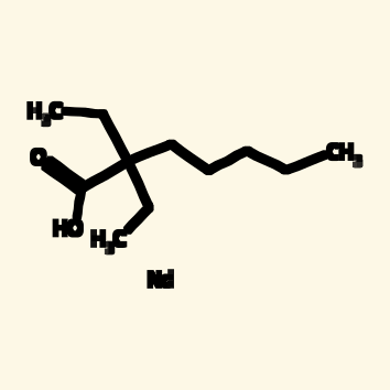 CCCCCC(CC)(CC)C(=O)O.[Nd]